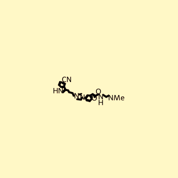 CNCCCNC(=O)c1cc2cc(N3CCN(CCCCc4c[nH]c5ccc(C#N)cc45)CC3)ccc2o1